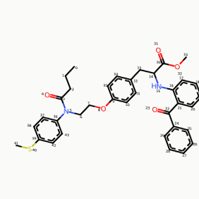 CCCC(=O)N(CCOc1ccc(CC(Nc2ccccc2C(=O)c2ccccc2)C(=O)OC)cc1)c1ccc(SC)cc1